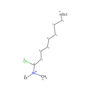 CCCCCCCCCCCCCCCC(Cl)N(C)CC